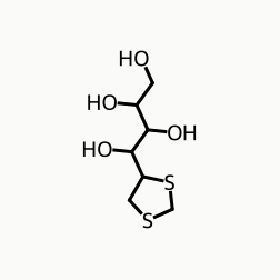 OCC(O)C(O)C(O)C1CSCS1